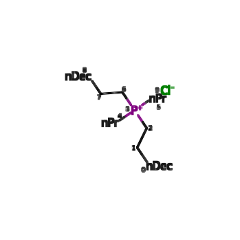 CCCCCCCCCCCC[P+](CCC)(CCC)CCCCCCCCCCCC.[Cl-]